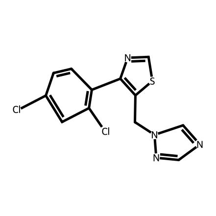 Clc1ccc(-c2ncsc2Cn2cncn2)c(Cl)c1